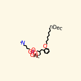 CCCCCCCCCCCCCCCCCCOc1ccccc1CC(COP(=O)(O)OCCCCN(C)C)CC(C)=O